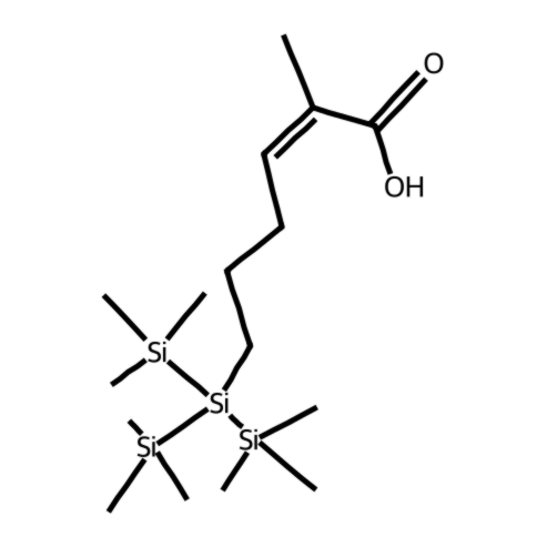 CC(=CCCC[Si]([Si](C)(C)C)([Si](C)(C)C)[Si](C)(C)C)C(=O)O